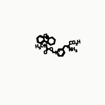 CN(C(=O)OC[n+]1cccc(C[C@H](N)C(=O)O)c1)[C@@]1(c2ccccc2Cl)CCCCC1=O